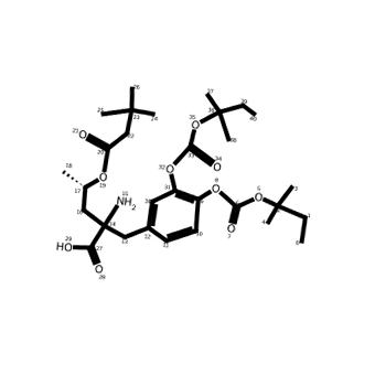 CCC(C)(C)OC(=O)Oc1ccc(CC(N)(C[C@H](C)OC(=O)CC(C)(C)C)C(=O)O)cc1OC(=O)OC(C)(C)CC